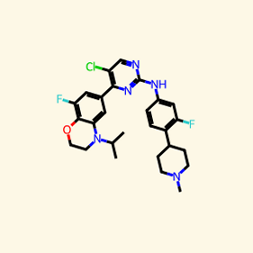 CC(C)N1CCOc2c(F)cc(-c3nc(Nc4ccc(C5CCN(C)CC5)c(F)c4)ncc3Cl)cc21